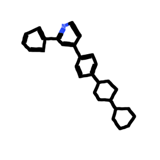 c1ccc(-c2cc(-c3ccc(C4CCC(C5CCCCC5)CC4)cc3)ccn2)cc1